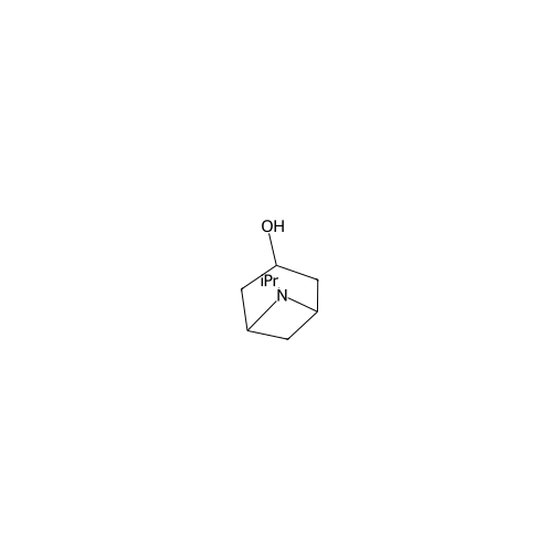 CC(C)N1C2CC(O)CC1C2